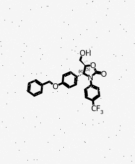 O=C1O[C@H](CO)[C@@H](c2ccc(OCc3ccccc3)cc2)N1c1ccc(C(F)(F)F)cc1